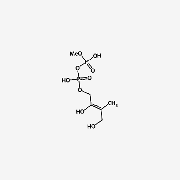 COP(=O)(O)OP(=O)(O)OC/C(O)=C(\C)CO